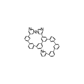 c1cncc(-c2cccc(-c3cccc(-c4cccc(-c5cc(-c6cncnc6)cc(-c6cccc(-c7cccc(-c8cccc(-c9cncnc9)c8)c7)c6)c5)c4)c3)c2)c1